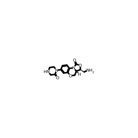 NC[C@@H]1OC(=O)N2c3ccc(N4CCNCC4=O)cc3OC[C@@H]12